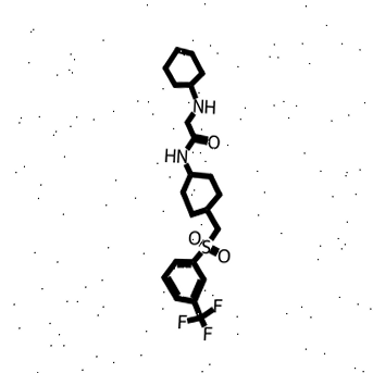 O=C(CNC1CCCCC1)NC1CCC(CS(=O)(=O)c2cccc(C(F)(F)F)c2)CC1